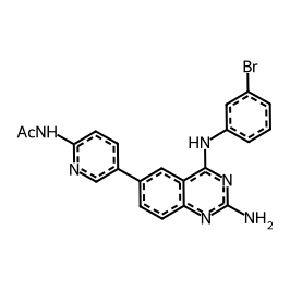 CC(=O)Nc1ccc(-c2ccc3nc(N)nc(Nc4cccc(Br)c4)c3c2)cn1